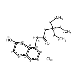 CC[N+](CC)(CC)CC(=O)Nc1cccc2ccc(O)cc12.[Cl-]